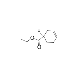 CCOC(=O)C1(F)CC=CCC1